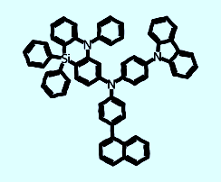 c1ccc(N2c3ccccc3[Si](c3ccccc3)(c3ccccc3)c3ccc(N(c4ccc(-c5cccc6ccccc56)cc4)c4ccc(-n5c6ccccc6c6ccccc65)cc4)cc32)cc1